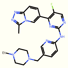 CCN1CCN(Cc2ccc(Nc3ncc(F)c(-c4ccc5nnc(C)n5c4)n3)nc2)CC1